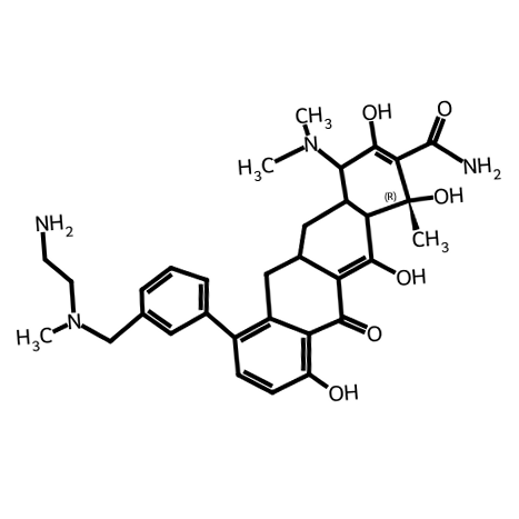 CN(CCN)Cc1cccc(-c2ccc(O)c3c2CC2CC4C(N(C)C)C(O)=C(C(N)=O)[C@](C)(O)C4C(O)=C2C3=O)c1